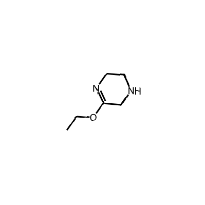 CCOC1=NCCNC1